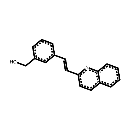 OCc1cccc(C=Cc2ccc3ccccc3n2)c1